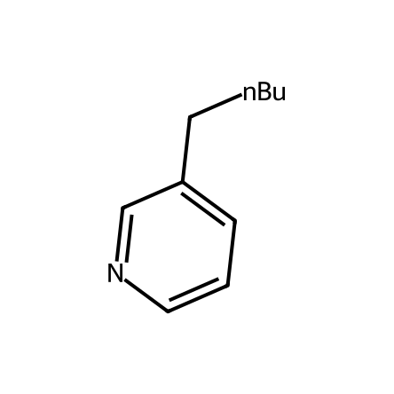 CC[CH]CCc1cccnc1